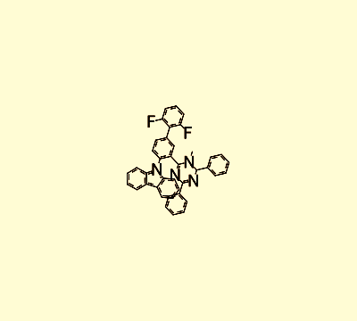 CN1C(c2cc(-c3c(F)cccc3F)ccc2-n2c3ccccc3c3ccccc32)=NC(c2ccccc2)=NC1c1ccccc1